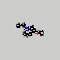 c1ccc(-c2cccc(-c3nc(-c4ccccc4)nc(-c4cccc5sc6ccc(-c7cccc(-c8nc9ccccc9o8)c7)cc6c45)n3)c2)cc1